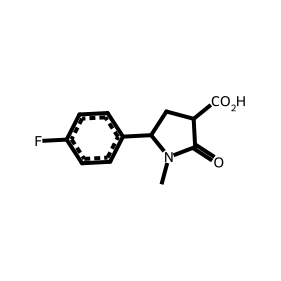 CN1C(=O)C(C(=O)O)CC1c1ccc(F)cc1